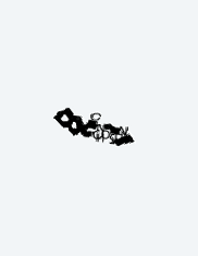 O=C(O)CC1(C(=O)NCc2nccs2)Cc2ccccc2C1